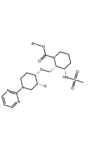 CC(C)OC(=O)N1CCC[C@H](NS(C)(=O)=O)[C@@H]1CO[C@H]1CCN(c2ncccn2)C[C@H]1F